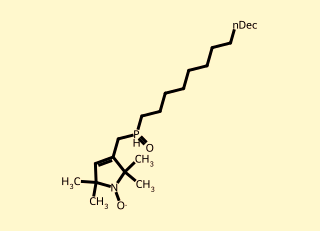 CCCCCCCCCCCCCCCCCC[PH](=O)CC1=CC(C)(C)N([O])C1(C)C